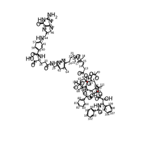 CC(=O)O[C@H]1C(=O)[C@]2(C)[C@@H](OC(=O)C/C=C/[Si](C)(C)O[Si](C)(C)CCc3nnc(CNC(=O)CC[C@H](NC(=O)c4ccc(NCc5cnc6nc(N)[nH]c(=O)c6n5)cc4)C(=O)O)cc3C)C[C@H]3OC[C@@]3(OC(C)=O)[C@H]2[C@H](OC(=O)c2ccccc2)[C@]2(O)C[C@H](OC(=O)[C@H](O)[C@@H](NC(=O)c3ccccc3)c3ccccc3)C(C)=C1C2(C)C